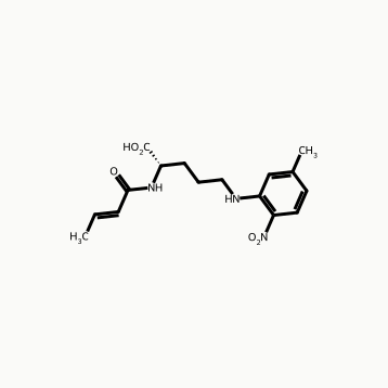 C/C=C/C(=O)N[C@@H](CCCNc1cc(C)ccc1[N+](=O)[O-])C(=O)O